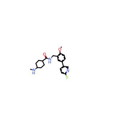 CNC1CCC(C(=O)NCc2cc(-c3ccc(F)nc3)ccc2OC)CC1